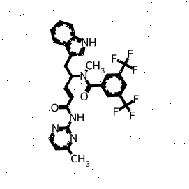 Cc1ccnc(NC(=O)C=CC(Cc2c[nH]c3ccccc23)N(C)C(=O)c2cc(C(F)(F)F)cc(C(F)(F)F)c2)n1